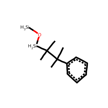 CC(C)([SiH2]O[SiH3])C(C)(C)c1ccccc1